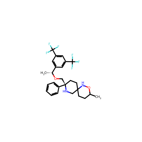 CC1CCC2(CC[C@@](CO[C@H](C)c3cc(C(F)(F)F)cc(C(F)(F)F)c3)(c3ccccc3)NC2)NO1